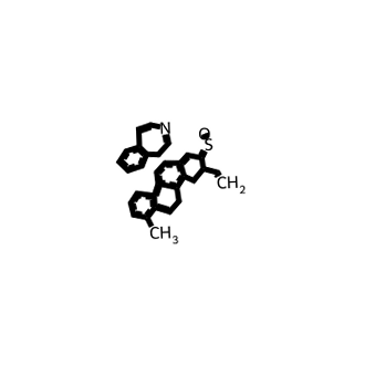 C1=Cc2ccccc2CC=N1.C=CC1Cc2c3c(ccc2=CC1=S=O)=c1cccc(C)c1=CC3